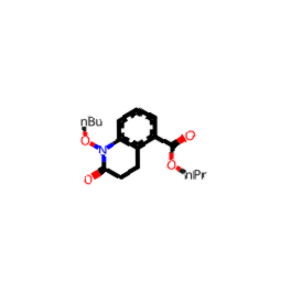 CCCCON1C(=O)CCc2c(C(=O)OCCC)cccc21